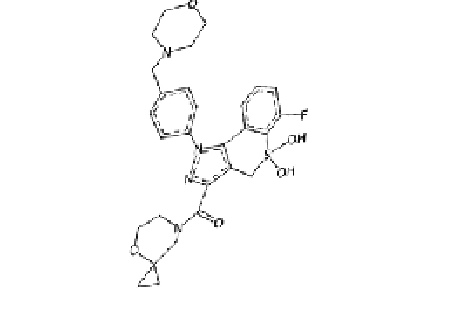 O=C(c1nn(-c2ccc(CN3CCOCC3)cc2)c2c1CS(O)(O)c1c(F)cccc1-2)N1CCOC2(CC2)C1